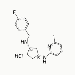 Cc1cccc(N[C@@H]2CC[C@H](NCc3ccc(F)cc3)C2)n1.Cl